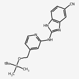 CC(C)(C)[Si](C)(C)OCc1ccnc(Nc2nc3cc(C#N)ccc3[nH]2)c1